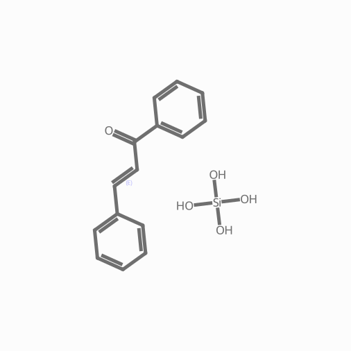 O=C(/C=C/c1ccccc1)c1ccccc1.O[Si](O)(O)O